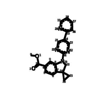 COC(=O)c1ccc2c(c1)N(c1ncc(-c3ccccn3)cn1)CC21CC1